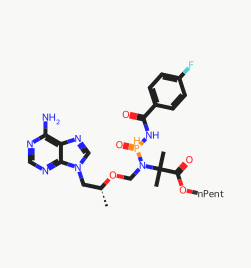 CCCCCOC(=O)C(C)(C)N(CO[C@H](C)Cn1cnc2c(N)ncnc21)[PH](=O)NC(=O)c1ccc(F)cc1